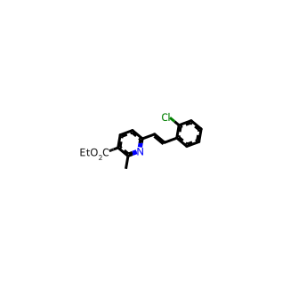 CCOC(=O)c1ccc(C=Cc2ccccc2Cl)nc1C